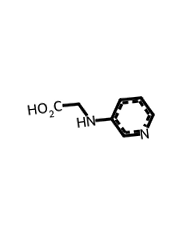 O=C(O)CNc1cccnc1